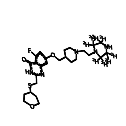 [2H]C1([2H])NC([2H])([2H])C([2H])([2H])N(CCN2CCC(COc3cc(F)c4c(=O)[nH]c(CSC5CCOCC5)nc4c3)CC2)C1([2H])[2H]